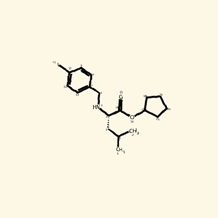 CC(C)C[C@H](NCc1ccc(I)cc1)C(=O)OC1CCCC1